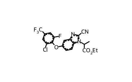 CCOC(=O)C(C)n1c(C#N)nc2cc(Oc3c(F)cc(C(F)(F)F)cc3Cl)ccc21